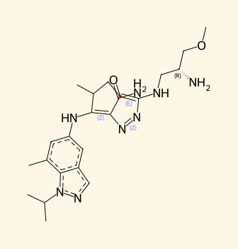 COC[C@H](N)CNC1=C\CC(C)/C(Nc2cc(C)c3c(cnn3C(C)C)c2)=C(C(N)=O)/N=N\1